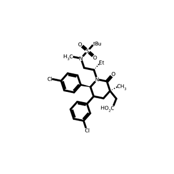 CC[C@@H](CN(C)S(=O)(=O)C(C)(C)C)N1C(=O)[C@@](C)(CC(=O)O)CC(c2cccc(Cl)c2)[C@H]1c1ccc(Cl)cc1